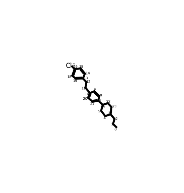 CCCC1CCC(c2ccc(CCc3ccc(Cl)cc3)cc2)CC1